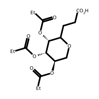 CCC(=O)O[C@@H]1[C@H](OC(=O)CC)C(CCC(=O)O)OC[C@H]1OC(=O)CC